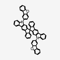 C1=CC2Oc3ccccc3C2C=C1n1c2ccccc2c2cc3c(cc21)C1(c2ccccc2-3)c2ccccc2-c2cc3c4ccccc4n(-c4ccc5oc6ccccc6c5c4)c3cc21